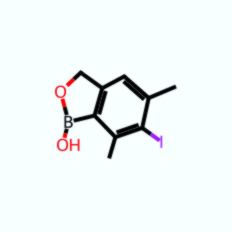 Cc1cc2c(c(C)c1I)B(O)OC2